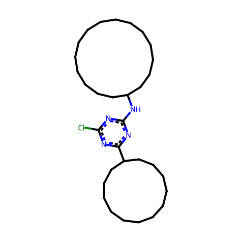 Clc1nc(NC2CCCCCCCCCCCCCCC2)nc(C2CCCCCCCCCCCC2)n1